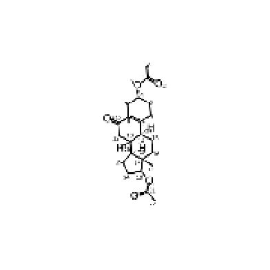 CC(=O)O[C@H]1CCC2=C(C1)C(=O)C[C@@H]1[C@@H]2CC[C@]2(C)[C@@H](OC(C)=O)CC[C@@H]12